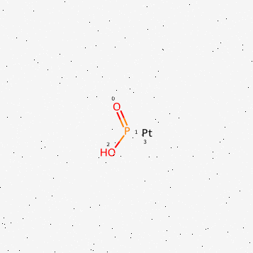 O=PO.[Pt]